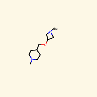 CN1CCC(COC2CN(C(C)(C)C)C2)CC1